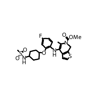 COC(=O)N1Cc2sccc2C(Nc2ccc(F)cc2OC2CCC(NS(C)(=O)=O)CC2)=C1C